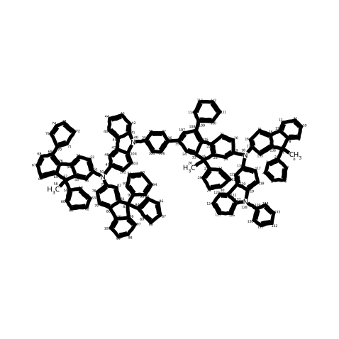 CC1(c2ccccc2)c2ccccc2-c2ccc(N(c3ccc4c(c3)C(C)(c3ccccc3)c3cc(-c5ccc(-n6c7ccccc7c7cc(N(c8ccc9c(c8)C(C)(c8ccccc8)c8cccc(-c%10ccccc%10)c8-9)c8ccc9c(c8)C(c8ccccc8)(c8ccccc8)c8ccccc8-9)ccc76)cc5)cc(-c5ccccc5)c3-4)c3ccc4c(c3)c3ccccc3n4-c3ccccc3)cc21